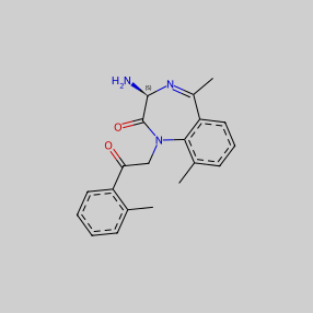 CC1=N[C@H](N)C(=O)N(CC(=O)c2ccccc2C)c2c(C)cccc21